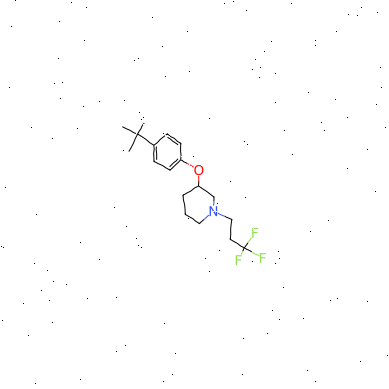 CC(C)(C)c1ccc(OC2CCCN(CCC(F)(F)F)C2)cc1